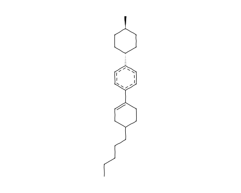 CCCCCC1CC=C(c2ccc([C@H]3CC[C@H](C)CC3)cc2)CC1